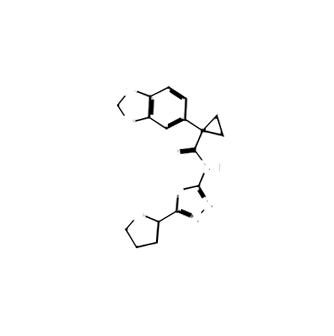 O=C(Nc1nnc(C2CCCO2)s1)C1(c2ccc3c(c2)OCO3)CC1